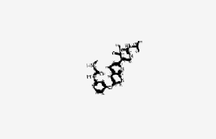 CNC(=O)Nc1cc(Oc2cnc3nc(-c4cnc(NC(C)C)n(C)c4=O)ccc3c2)ccn1